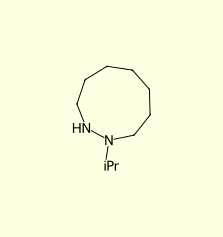 CC(C)N1CCCCCCCN1